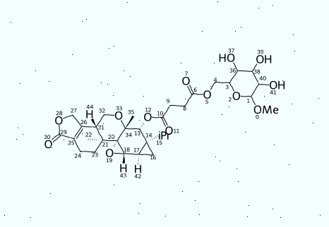 COC1OC(COC(=O)CCC(=O)O[C@@H]2[C@@]3(C(C)C)C[C@H]3[C@@H]3O[C@@]34[C@@]3(C)CCC5=C(COC5=O)[C@@H]3CO[C@]24C)C(O)C(O)C1O